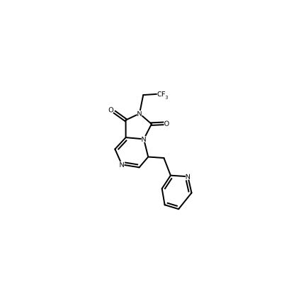 O=C1C2=CN=CC(Cc3ccccn3)N2C(=O)N1CC(F)(F)F